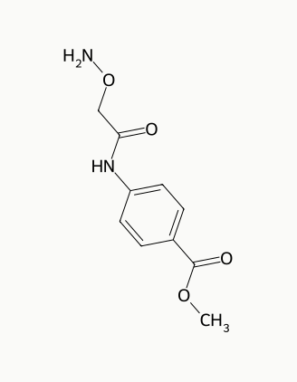 COC(=O)c1ccc(NC(=O)CON)cc1